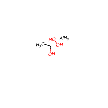 CCO.OO.[AlH3]